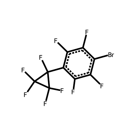 Fc1c(F)c(C2(F)C(F)(F)C2(F)F)c(F)c(F)c1Br